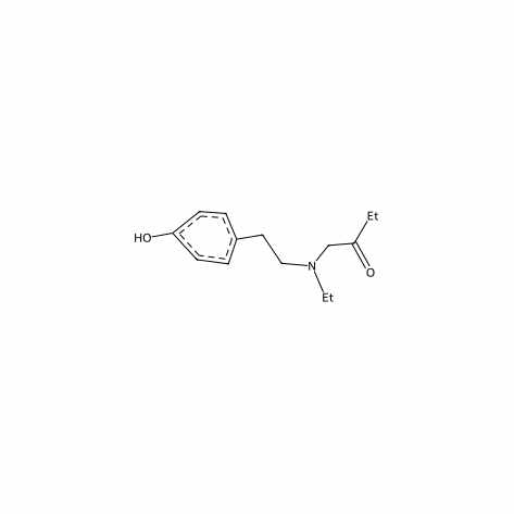 CCC(=O)CN(CC)CCc1ccc(O)cc1